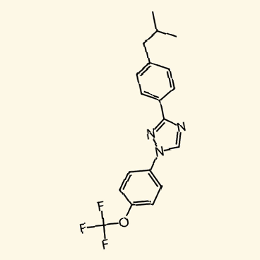 CC(C)Cc1ccc(-c2ncn(-c3ccc(OC(F)(F)F)cc3)n2)cc1